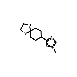 Cn1cnc(C2CCC3(CC2)OCCO3)n1